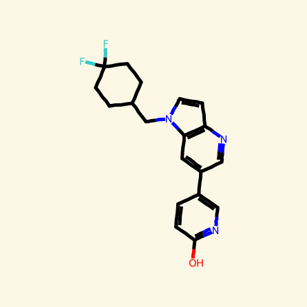 Oc1ccc(-c2cnc3ccn(CC4CCC(F)(F)CC4)c3c2)cn1